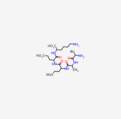 CCC(C)C(N)C(=O)NC(C)C(=O)NC(CCSC)C(=O)NC(CCC(=O)O)C(=O)NC(CCCCN)C(=O)O